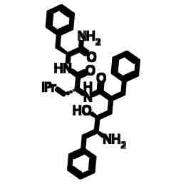 CC(C)C[C@@H](NC(=O)C(Cc1ccccc1)C[C@H](O)[C@@H](N)Cc1ccccc1)C(=O)N[C@@H](Cc1ccccc1)C(N)=O